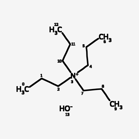 CCC[N+](CCC)(CCC)CCC.[OH-]